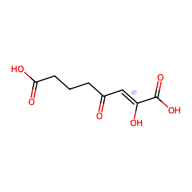 O=C(O)CCCC(=O)/C=C(\O)C(=O)O